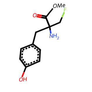 COC(=O)C(N)(CF)Cc1ccc(O)cc1